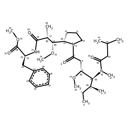 CC[C@H](C)[C@@H]([C@@H](CC(=O)N1CCC[C@H]1[C@H](OC)[C@@H](C)C(=O)N[C@@H](Cc1ccccc1)C(=O)OC)OC)N(C)C(=O)CC(C)C